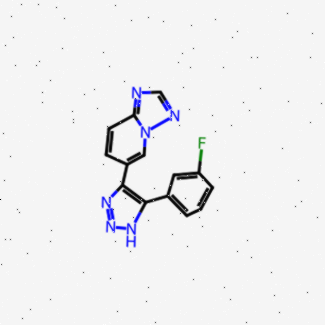 Fc1cccc(-c2[nH]nnc2-c2ccc3ncnn3c2)c1